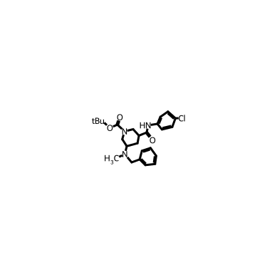 CN(Cc1ccccc1)C1CC(C(=O)Nc2ccc(Cl)cc2)CN(C(=O)OC(C)(C)C)C1